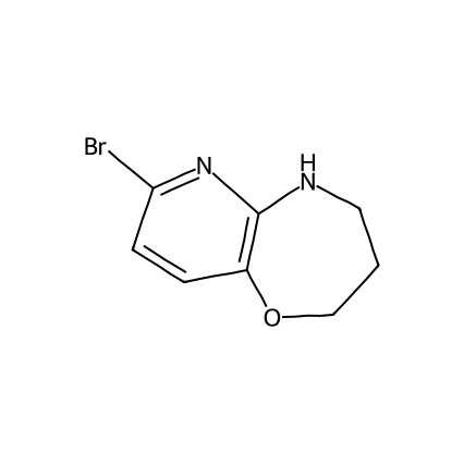 Brc1ccc2c(n1)NCCCO2